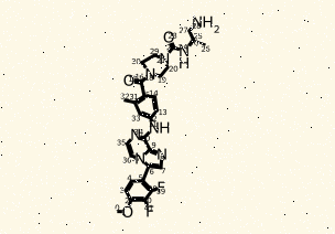 COc1ccc(-c2cnc3c(Nc4ccc(C(=O)N5CCN(C(=O)N[C@H](C)CN)CC5)c(C)c4)nccn23)c(F)c1F